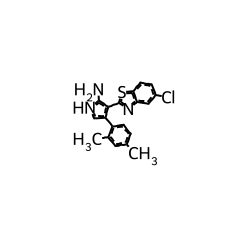 Cc1ccc(-c2c[nH]c(N)c2-c2nc3cc(Cl)ccc3s2)c(C)c1